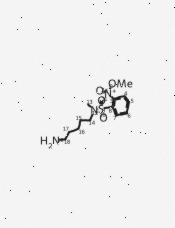 CO[N+](=O)c1ccccc1S(=O)(=O)N(C)CCCCCN